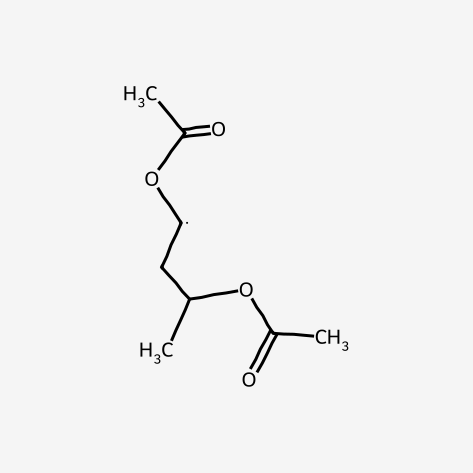 CC(=O)O[CH]CC(C)OC(C)=O